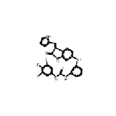 O=C(Nc1cccc(Nc2ccc3c(c2)NC(=O)C3=Cc2ccc[nH]2)c1)Nc1cc(F)c(F)c(F)c1